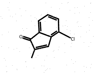 CC1=Cc2c(Cl)cccc2C1=O